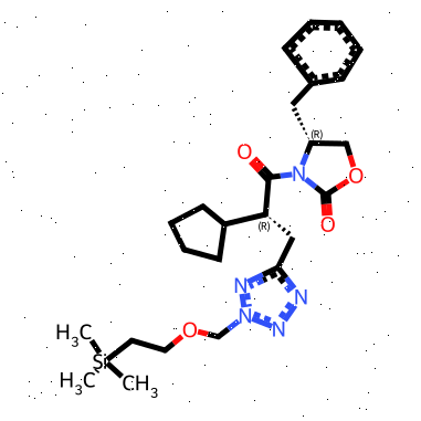 C[Si](C)(C)CCOCn1nnc(C[C@@H](C(=O)N2C(=O)OC[C@H]2Cc2ccccc2)C2CCCC2)n1